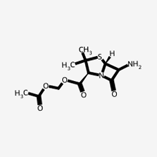 CC(=O)OCOC(=O)[C@@H]1N2C(=O)C(N)[C@H]2SC1(C)C